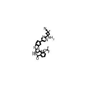 C[C@]1(C#N)C[C@@](N)(c2ncc(-c3ccc4nc5n(c4c3)[C@H]3C[C@H]5NC(=O)c4cccc(OC(F)F)c43)cn2)C1